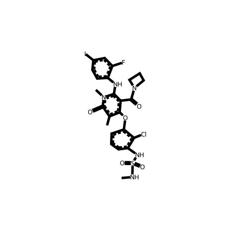 CNS(=O)(=O)Nc1cccc(Oc2c(C(=O)N3CCC3)c(Nc3ccc(I)cc3F)n(C)c(=O)c2C)c1Cl